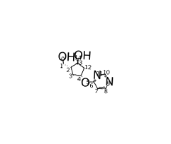 OC[C@H]1C[C@@H](Oc2ccncn2)C[C@@H]1O